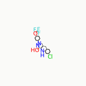 OC1=NN(c2ccc(OC(F)(F)F)cc2)CC2=C1Nc1cc(Cl)ccc1C2